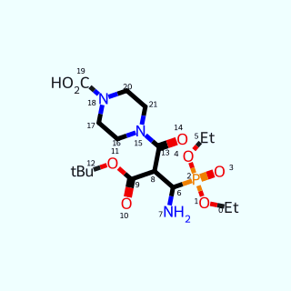 CCOP(=O)(OCC)C(N)C(C(=O)OC(C)(C)C)C(=O)N1CCN(C(=O)O)CC1